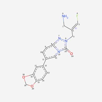 NC/C(=C\F)Cn1nc2ccc(-c3ccc4c(c3)OCO4)cn2c1=O